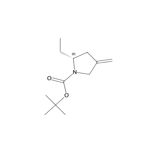 C=C1C[C@@H](CC)N(C(=O)OC(C)(C)C)C1